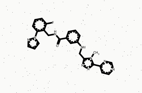 Cn1c(CNc2cccc(C(=O)NCc3c(F)cccc3-n3cccn3)c2)nnc1-c1ccncn1